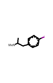 CNC(C)Cc1ccc(I)cc1